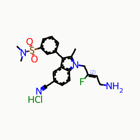 Cc1c(-c2cccc(S(=O)(=O)N(C)C)c2)c2cc(C#N)ccc2n1C/C(F)=C/CN.Cl